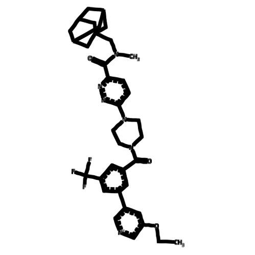 CCOc1cncc(-c2cc(C(=O)N3CCN(c4ccc(C(=O)N(C)CC56CC7CC(CC(C7)C5)C6)nn4)CC3)cc(C(F)(F)F)c2)c1